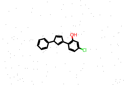 Oc1cc(Cl)ccc1C1=CC(c2ccccc2)C=C1